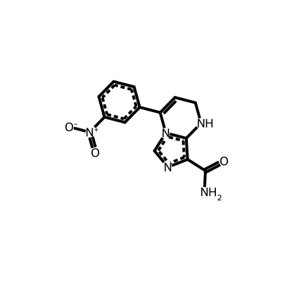 NC(=O)c1ncn2c1NCC=C2c1cccc([N+](=O)[O-])c1